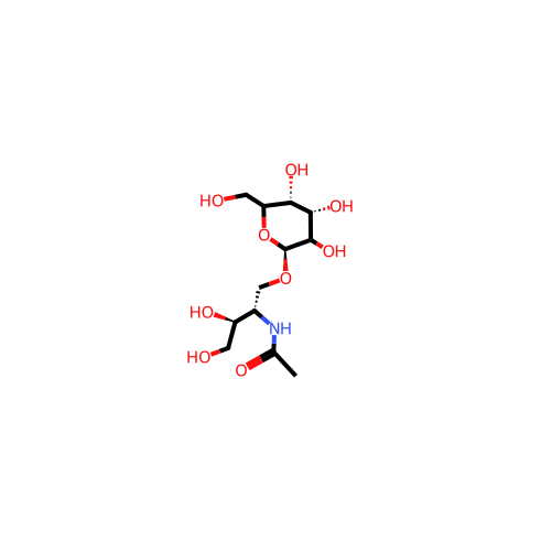 CC(=O)N[C@@H](CO[C@H]1OC(CO)[C@H](O)[C@H](O)C1O)[C@H](O)CO